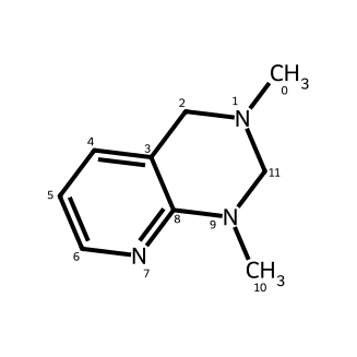 CN1Cc2cccnc2N(C)C1